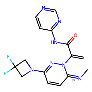 C=C(C(=O)Nc1ccncn1)n1nc(N2CC(F)(F)C2)cc/c1=N/C